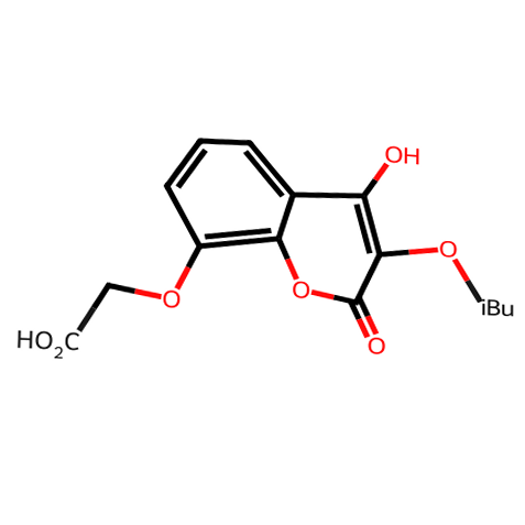 CCC(C)Oc1c(O)c2cccc(OCC(=O)O)c2oc1=O